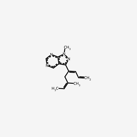 C=C/C=C(\C/C(C)=C\C)c1nn(C)c2ncncc12